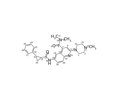 CN1CCN(c2cc(C(=O)N(C)C)c3cc(NC(=O)C4CC4c4ccccc4)ccc3n2)CC1